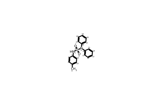 Cc1ccc(NS(=O)(=O)N(c2ccccc2)c2ccccc2)cc1